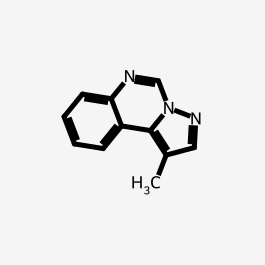 Cc1cnn2cnc3ccccc3c12